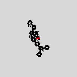 c1ccc(-c2cc(-c3ccc(-c4ccc5c(c4)C4(c6cc(-c7cccc(-c8ccccn8)c7)ccc6O5)c5ccccc5-c5ccccc54)cc3)nc(-c3ccccc3)n2)cc1